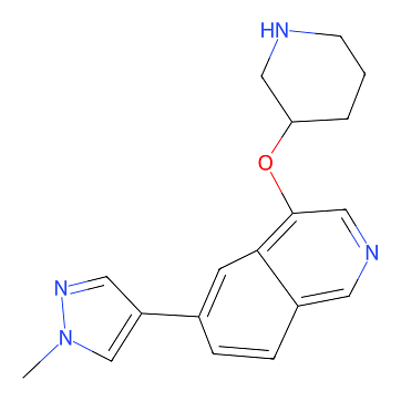 Cn1cc(-c2ccc3cncc(OC4CCCNC4)c3c2)cn1